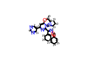 C[C@H](Oc1cc(-c2cncnc2)nc(-c2noc3c2CCC[C@@]32CCCCC2=O)n1)[C@@H]1CCCN1C